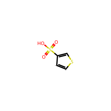 O=S(=O)(O)c1[c][c]sc1